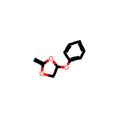 C=C1OCC(Oc2ccccc2)O1